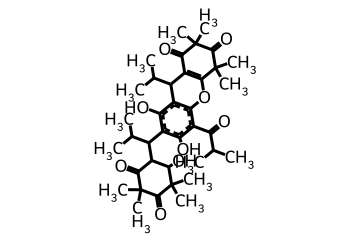 CC(C)C(=O)c1c(O)c(C(C(C)C)C2C(=O)C(C)(C)C(=O)C(C)(C)C2O)c(O)c2c1OC1=C(C(=O)C(C)(C)C(=O)C1(C)C)C2C(C)C